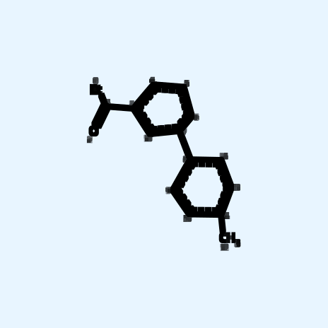 CCC(=O)c1cccc(-c2ccc(C)cc2)c1